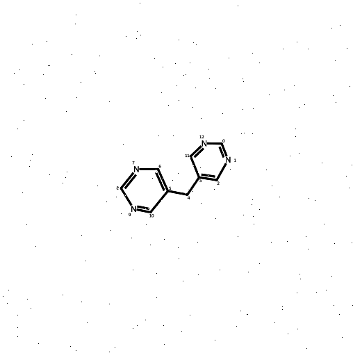 c1ncc(Cc2cncnc2)cn1